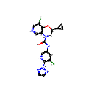 O=C(Nc1cnc(-n2nccn2)c(Cl)c1)N1CC(C2CC2)Oc2c(Br)cncc21